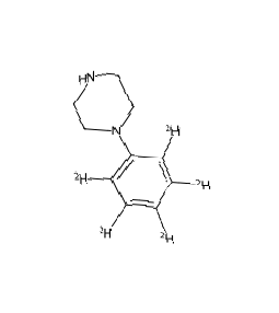 [2H]c1c([2H])c([2H])c(N2CCNCC2)c([2H])c1[2H]